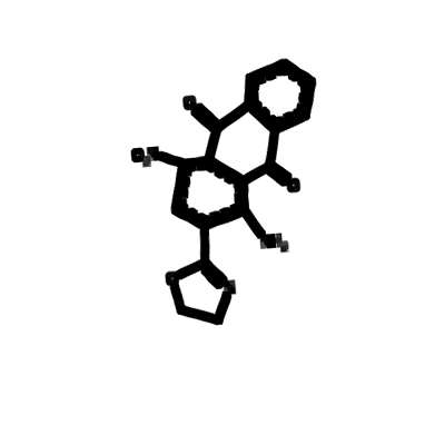 Nc1c(C2=NCCO2)cc([N+](=O)[O-])c2c1C(=O)c1ccccc1C2=O